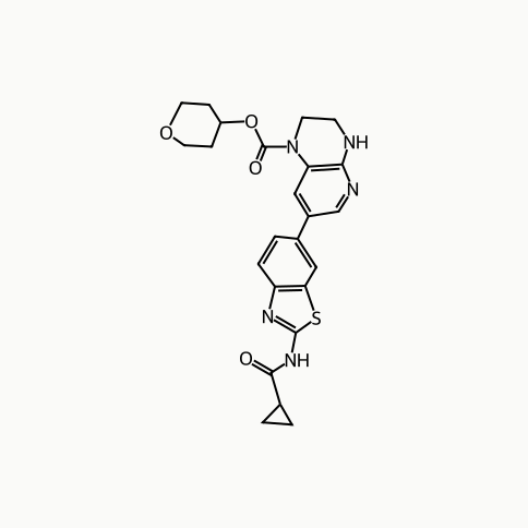 O=C(Nc1nc2ccc(-c3cnc4c(c3)N(C(=O)OC3CCOCC3)CCN4)cc2s1)C1CC1